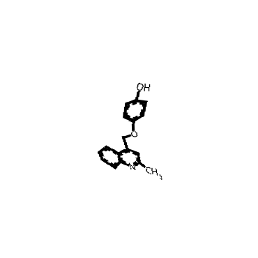 Cc1cc(COc2ccc(O)cc2)c2ccccc2n1